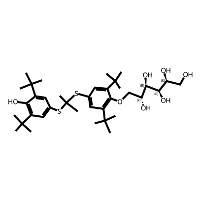 CC(C)(Sc1cc(C(C)(C)C)c(O)c(C(C)(C)C)c1)Sc1cc(C(C)(C)C)c(OC[C@@H](O)[C@@H](O)[C@H](O)[C@@H](O)CO)c(C(C)(C)C)c1